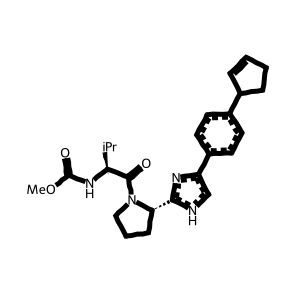 COC(=O)N[C@H](C(=O)N1CCC[C@H]1c1nc(-c2ccc(C3C=CCC3)cc2)c[nH]1)C(C)C